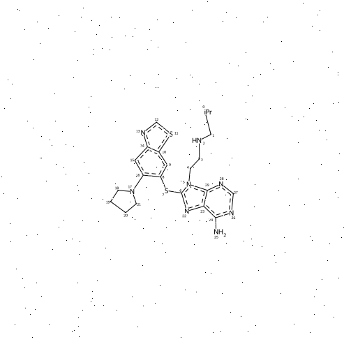 CC(C)CNCCn1c(Sc2cc3scnc3cc2N2CCCC2)nc2c(N)ncnc21